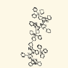 c1ccc(-c2nc(-n3c4ccccc4n4c5ccccc5nc34)nc(-n3c4ccc([Si](c5ccccc5)(c5ccccc5)c5ccccc5)cc4n4c5cc(-c6ccc([Si](c7ccccc7)(c7ccccc7)c7ccc8c(c7)n7c9ccccc9nc7n8-c7nc(-c8ccccc8)nc(-n8c9ccc([Si](c%10ccccc%10)(c%10ccccc%10)c%10ccccc%10)cc9n9c%10ccccc%10nc89)n7)cc6)ccc5nc34)n2)cc1